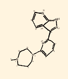 CN1CCCN(c2cccc(-c3n[nH]c4ncccc34)n2)CC1